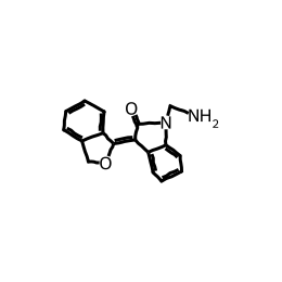 NCN1C(=O)C(=C2OCc3ccccc32)c2ccccc21